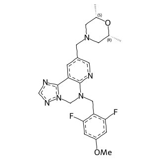 COc1cc(F)c(CN2Cn3ncnc3-c3cc(CN4C[C@@H](C)O[C@@H](C)C4)cnc32)c(F)c1